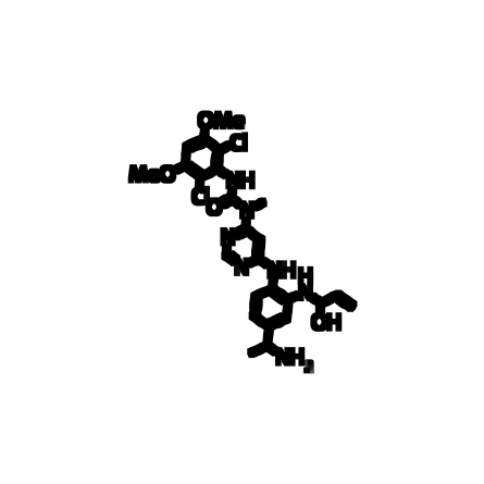 C=CC(O)Nc1cc(C(C)N)ccc1Nc1cc(N(C)C(=O)Nc2c(Cl)c(OC)cc(OC)c2Cl)ncn1